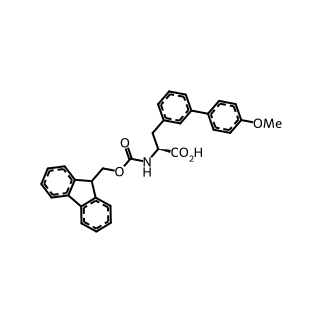 COc1ccc(-c2cccc(C[C@H](NC(=O)OCC3c4ccccc4-c4ccccc43)C(=O)O)c2)cc1